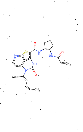 C=CC(=O)N[C@@H]1CCC[C@@H]1NC(=O)c1sc2nccc3c2c1NC(=O)N3/C(=C/C=C\C)NC